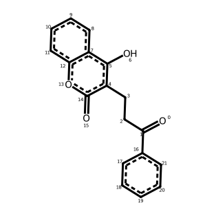 O=C(CCc1c(O)c2ccccc2oc1=O)c1ccccc1